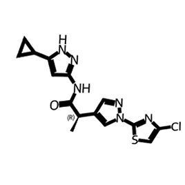 C[C@@H](C(=O)Nc1cc(C2CC2)[nH]n1)c1cnn(-c2nc(Cl)cs2)c1